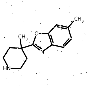 Cc1ccc2nc(C3(C)CCNCC3)oc2c1